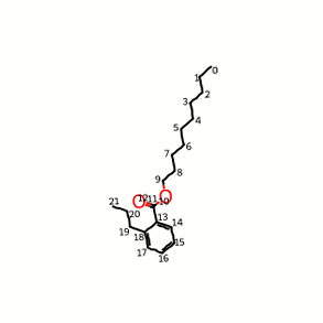 CCCCCCCCCCOC(=O)c1ccccc1CCC